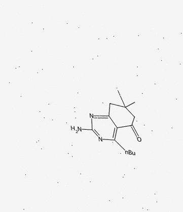 CCCCc1nc(N)nc2c1C(=O)CC(C)(C)C2